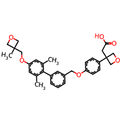 Cc1cc(OCC2(C)COC2)cc(C)c1-c1cccc(COc2ccc(C3(CC(=O)O)COC3)cc2)c1